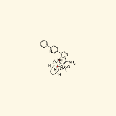 CS(=O)(=O)c1c([C@@H]2C[C@H]3CC[C@@H](C2)N3C(=O)C2(O)CC2)nc2c(-c3ccc(-c4ccccc4)nc3)cnn2c1N